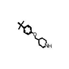 CC(C)(C)c1ccc(OCC2CCNCC2)cc1